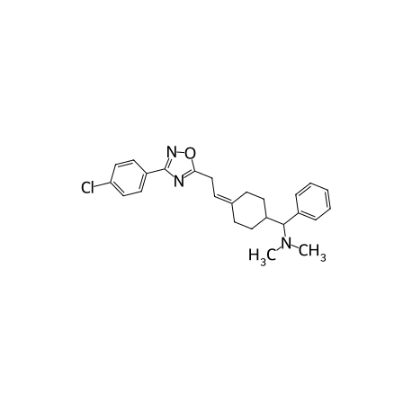 CN(C)C(c1ccccc1)C1CCC(=CCc2nc(-c3ccc(Cl)cc3)no2)CC1